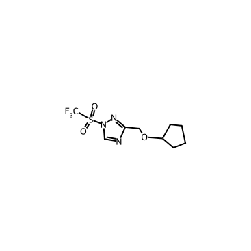 O=S(=O)(n1cnc(COC2CCCC2)n1)C(F)(F)F